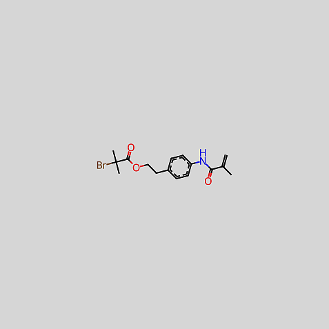 C=C(C)C(=O)Nc1ccc(CCOC(=O)C(C)(C)Br)cc1